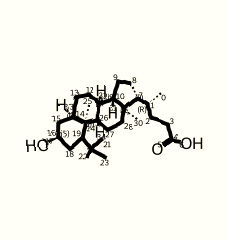 C[C@H](CCC(=O)O)[C@H]1CC[C@H]2[C@@H]3CC[C@@H]4C[C@H](O)CC(C(C)(C)C)[C@]4(C)[C@H]3CC[C@]12C